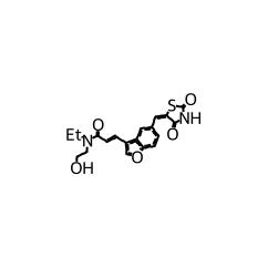 CCN(CCO)C(=O)C=Cc1coc2ccc(C=C3SC(=O)NC3=O)cc12